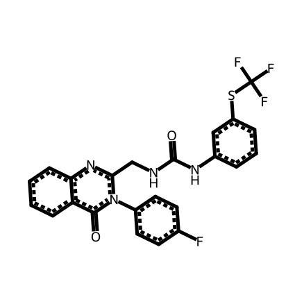 O=C(NCc1nc2ccccc2c(=O)n1-c1ccc(F)cc1)Nc1cccc(SC(F)(F)F)c1